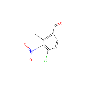 Cc1c(C=O)ccc(Cl)c1[N+](=O)[O-]